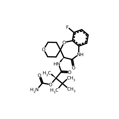 CC(C)(C)[C@](C)(OC(N)=O)C(=O)N[C@@H]1C(=O)Nc2cccc(F)c2OC12CCOCC2